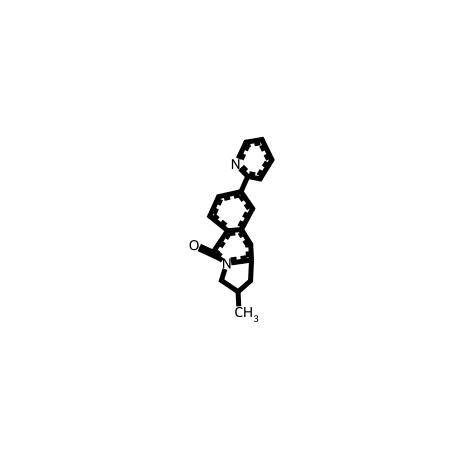 CC1Cc2cc3cc(-c4ccccn4)ccc3c(=O)n2C1